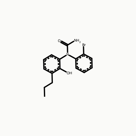 CCCc1cccc(N(C(N)=O)c2ccccc2Br)c1O